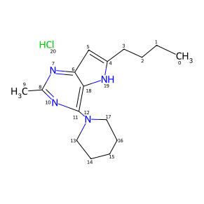 CCCCc1cc2nc(C)nc(N3CCCCC3)c2[nH]1.Cl